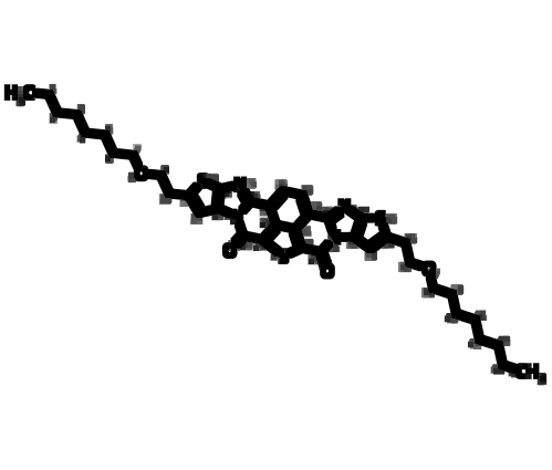 CCCCCCCCOCCc1cc2c(nc3c4ccc5c6c(sc(c(=O)n23)c46)c(=O)n2c3cc(CCOCCCCCCCC)sc3nc52)s1